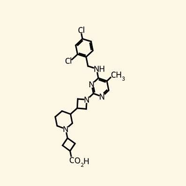 Cc1cnc(N2CC(C3CCCN(C4CC(C(=O)O)C4)C3)C2)nc1NCc1ccc(Cl)cc1Cl